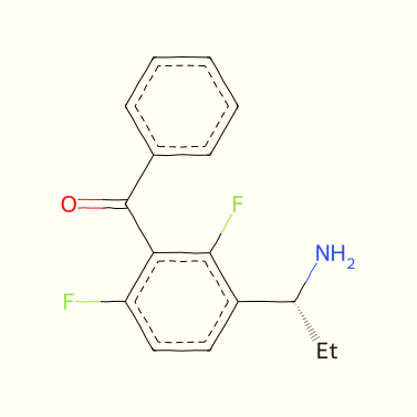 CC[C@@H](N)c1ccc(F)c(C(=O)c2ccccc2)c1F